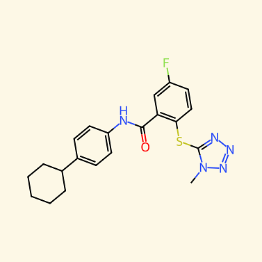 Cn1nnnc1Sc1ccc(F)cc1C(=O)Nc1ccc(C2CCCCC2)cc1